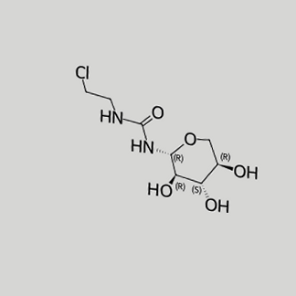 O=C(NCCCl)N[C@@H]1OC[C@@H](O)[C@H](O)[C@H]1O